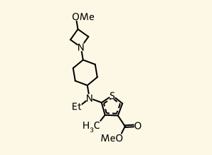 CCN(c1scc(C(=O)OC)c1C)C1CCC(N2CC(OC)C2)CC1